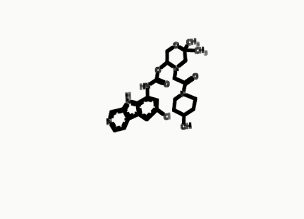 CC1(C)CN(CC(=O)N2CCC(O)CC2)C(OC(=O)Nc2cc(Cl)cc3c2[nH]c2cnccc23)CO1